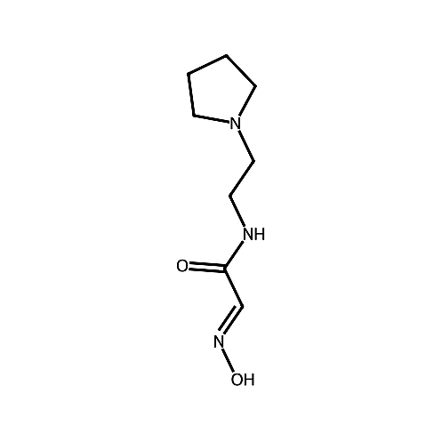 O=C(/C=N/O)NCCN1CCCC1